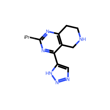 CC(C)c1nc2c(c(-c3cnn[nH]3)n1)CNCC2